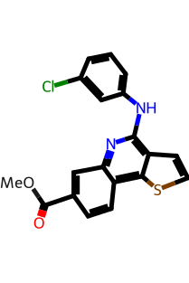 COC(=O)c1ccc2c(c1)nc(Nc1cccc(Cl)c1)c1ccsc12